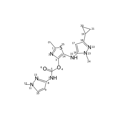 Cc1nc(OC(=O)Nc2ccn(C)n2)c(Nc2cc(C3CC3)nn2C)s1